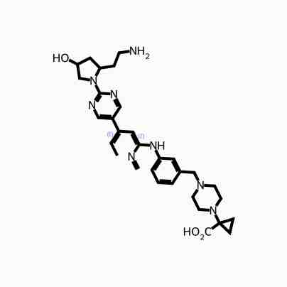 C=N/C(=C\C(=C/C)c1cnc(N2CC(O)CC2CCN)nc1)Nc1cccc(CN2CCN(C3(C(=O)O)CC3)CC2)c1